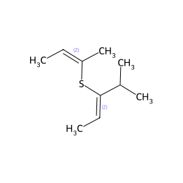 C/C=C(/C)S/C(=C\C)C(C)C